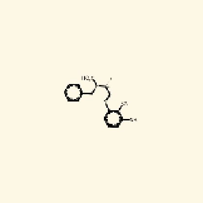 C[C@H](COc1cccc(N)c1C#N)N(Cc1ccccc1)C(=O)O